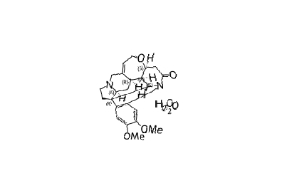 COc1cc2c(cc1OC)[C@@]13CCN4CC5=CCO[C@H]6CC(=O)N2[C@H]1[C@H]6[C@H]5C[C@H]43.O.O